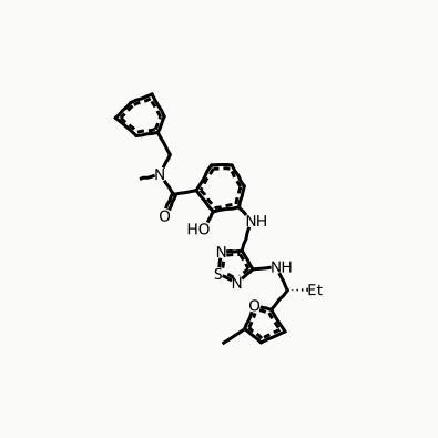 CC[C@@H](Nc1nsnc1Nc1cccc(C(=O)N(C)Cc2ccccc2)c1O)c1ccc(C)o1